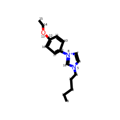 CCCCCn1cc[n+](-c2ccc(OCC)cc2)c1